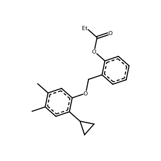 CCC(=O)Oc1ccccc1COc1cc(C)c(C)cc1C1CC1